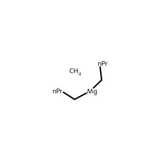 C.CCC[CH2][Mg][CH2]CCC